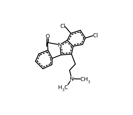 CN(C)CCc1c2n(c3c(Cl)cc(Cl)cc13)C(=O)c1ccccc1-2